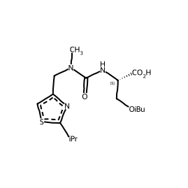 CC(C)COC[C@H](NC(=O)N(C)Cc1csc(C(C)C)n1)C(=O)O